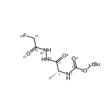 C[C@@H](NC(=O)OC(C)(C)C)C(=O)NNC(=O)CF